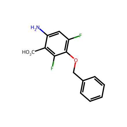 Nc1cc(F)c(OCc2ccccc2)c(F)c1C(=O)O